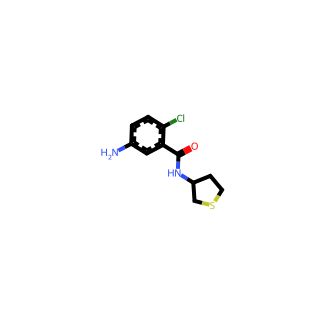 Nc1ccc(Cl)c(C(=O)NC2CCSC2)c1